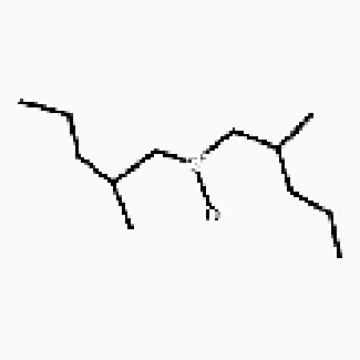 CCCC(C)C[S+]([O-])CC(C)CCC